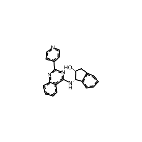 O[C@@H]1Cc2ccccc2[C@@H]1Nc1nc(-c2ccncc2)nc2ccccc12